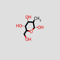 CC1[C@H](O)OC(CO)[C@H](O)[C@@H]1O